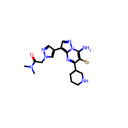 CN(C)C(=O)Cn1cc(-c2cnn3c(N)c(Br)c(C4CCCNC4)nc23)cn1